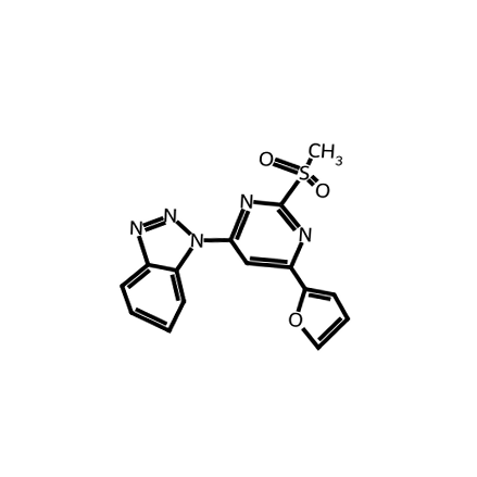 CS(=O)(=O)c1nc(-c2ccco2)cc(-n2nnc3ccccc32)n1